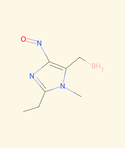 BCc1c(N=O)nc(CC)n1C